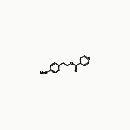 COc1ccc(CCOC(=O)c2ccncc2)cc1